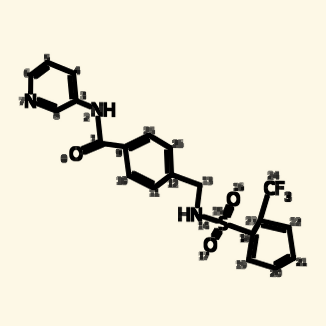 O=C(Nc1cccnc1)c1ccc(CNS(=O)(=O)c2ccccc2C(F)(F)F)cc1